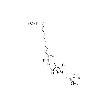 CCCCCCCC/C=C\CCCCCCCC(=O)N[C@@H]1CN[C@H](C(=O)NCCN(C)C)C1